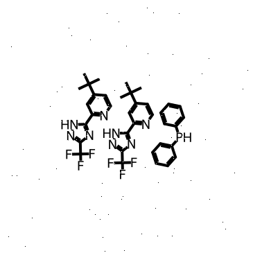 CC(C)(C)c1ccnc(-c2nc(C(F)(F)F)n[nH]2)c1.CC(C)(C)c1ccnc(-c2nc(C(F)(F)F)n[nH]2)c1.c1ccc(Pc2ccccc2)cc1